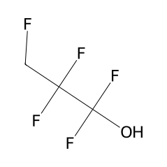 OC(F)(F)C(F)(F)CF